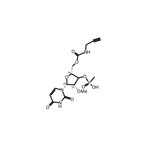 C#CCNC(=O)OC[C@H]1O[C@@H](n2ccc(=O)[nH]c2=O)[C@@H](OC)C1OP(C)(=O)O